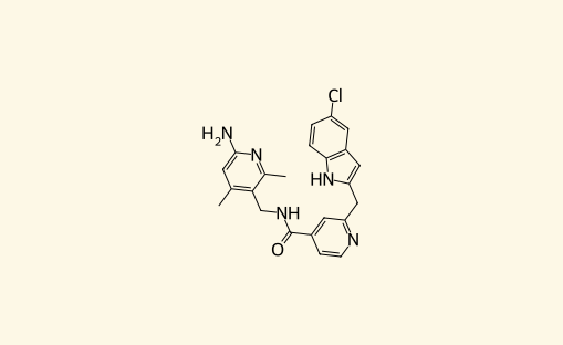 Cc1cc(N)nc(C)c1CNC(=O)c1ccnc(Cc2cc3cc(Cl)ccc3[nH]2)c1